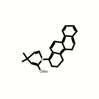 COC1=CC(C)(C)C=CN1C1=c2ccc3c(c2CCC1)CC=c1ccccc1=3